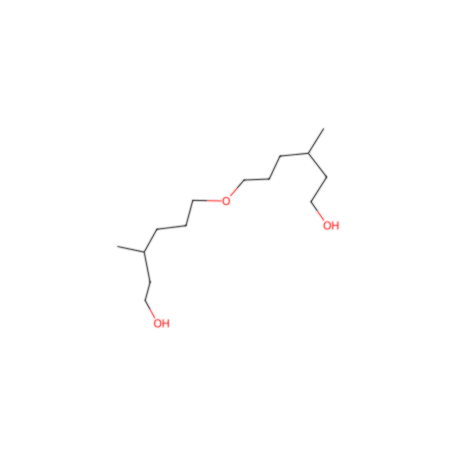 CC(CCO)CCCOCCCC(C)CCO